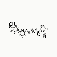 COc1ccc(-c2cccc(NCCNCC(=O)N3CCC[C@H]3C#N)n2)cc1